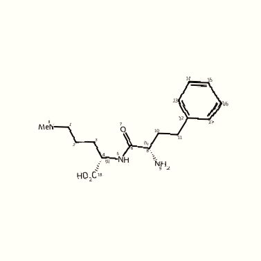 CNCCC[C@H](NC(=O)[C@@H](N)CCc1ccccc1)C(=O)O